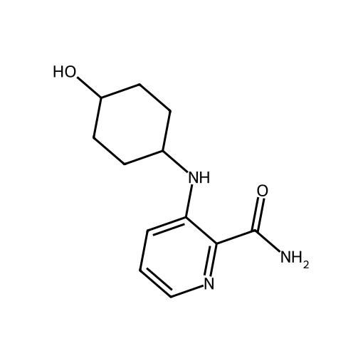 NC(=O)c1ncccc1NC1CCC(O)CC1